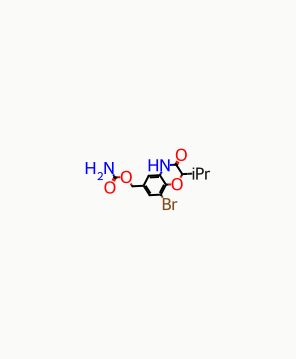 CC(C)C1Oc2c(Br)cc(COC(N)=O)cc2NC1=O